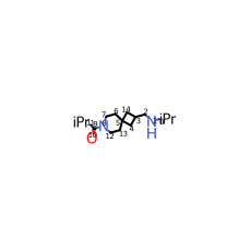 CC(C)NCC1CC2(CCN(C(=O)C(C)C)CC2)C1